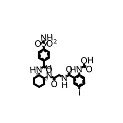 NS(=O)(=O)c1ccc(C(=O)N[C@@H]2CCCC[C@@H]2NC(=O)CNC(=O)c2cc(I)ccc2NC(=O)O)cc1